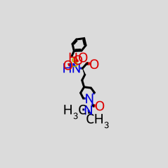 CN(C)C(=O)N1CCC(CC[C@@H](NS(=O)(=O)Cc2ccccc2)C(=O)O)CC1